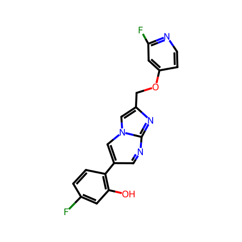 Oc1cc(F)ccc1-c1cnc2nc(COc3ccnc(F)c3)cn2c1